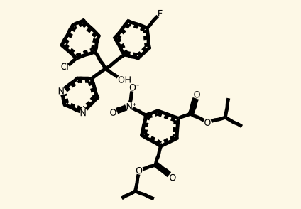 CC(C)OC(=O)c1cc(C(=O)OC(C)C)cc([N+](=O)[O-])c1.OC(c1ccc(F)cc1)(c1cncnc1)c1ccccc1Cl